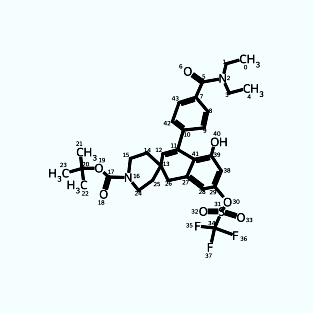 CCN(CC)C(=O)c1ccc(C2=CC3(CCN(C(=O)OC(C)(C)C)CC3)Cc3cc(OS(=O)(=O)C(F)(F)F)cc(O)c32)cc1